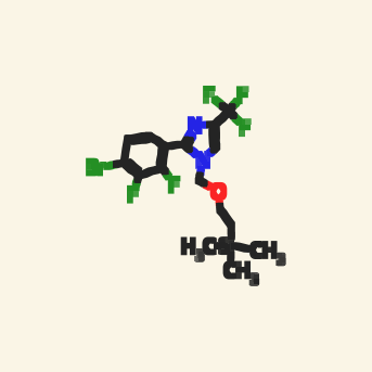 C[Si](C)(C)CCOCn1cc(C(F)(F)F)nc1-c1ccc(Br)c(F)c1F